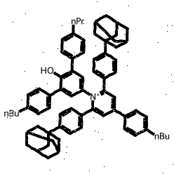 CCCCc1ccc(-c2cc(-c3ccc(C45CC6CC(CC(C6)C4)C5)cc3)[n+](-c3cc(-c4ccc(CCC)cc4)c(O)c(-c4ccc(CCCC)cc4)c3)c(-c3ccc(C45CC6CC(CC(C6)C4)C5)cc3)c2)cc1